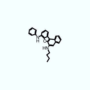 CCCCNc1cc2ccccc2c2c1oc1c(Nc3ccccc3)cccc12